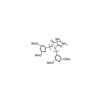 COc1cc(OC)cc(C(C)(C)OC(=O)C(N)(CN)C(=O)OC(C)(C)c2cc(OC)cc(OC)c2)c1